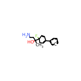 CC(O)(CCN)C1(F)C=CC(c2ccccc2)=CC1